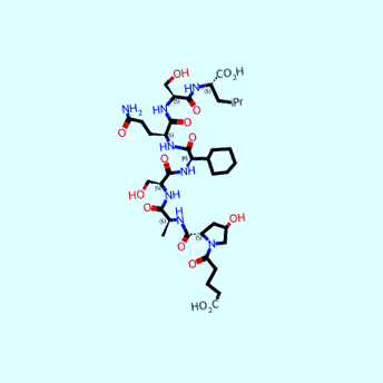 CC(C)C[C@H](NC(=O)[C@H](CO)NC(=O)[C@H](CCC(N)=O)NC(=O)[C@H](NC(=O)[C@H](CO)NC(=O)[C@H](C)NC(=O)[C@@H]1CC(O)CN1C(=O)CCCC(=O)O)C1CCCCC1)C(=O)O